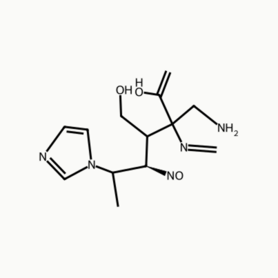 C=NC(CN)(C(=C)O)C(CO)[C@@H](N=O)C(C)n1ccnc1